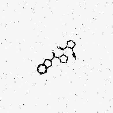 N#C[C@@H]1CSCN1C(=O)[C@@H]1CCCN1C(=O)C1Cc2ccccc2C1